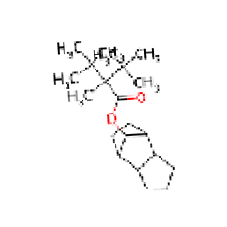 CC(C)(C)C(C)(C(=O)OC1C2CCC1C1CCCC12)C(C)(C)C